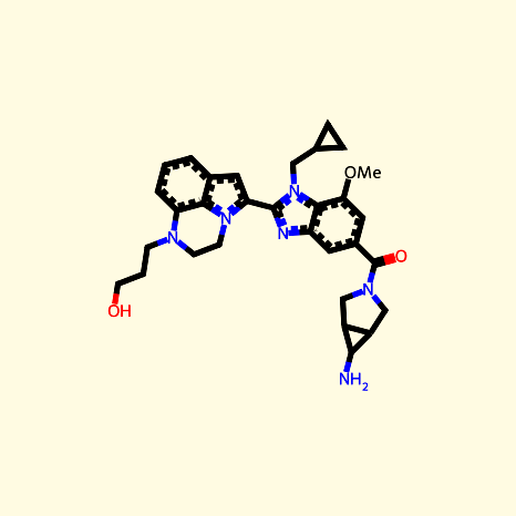 COc1cc(C(=O)N2CC3C(N)C3C2)cc2nc(-c3cc4cccc5c4n3CCN5CCCO)n(CC3CC3)c12